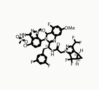 COc1cc(F)c2c(c1)N=C([C@H](Cc1cc(F)cc(F)c1)NC(=O)Cn1nc(C(F)F)c3c1C(F)(F)[C@@H]1C[C@H]31)N(c1ccc(Cl)c3c(NS(C)(=O)=O)nn(C)c13)C2O